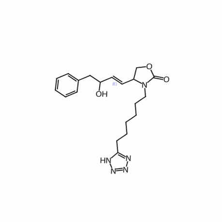 O=C1OCC(/C=C/C(O)Cc2ccccc2)N1CCCCCCc1nnn[nH]1